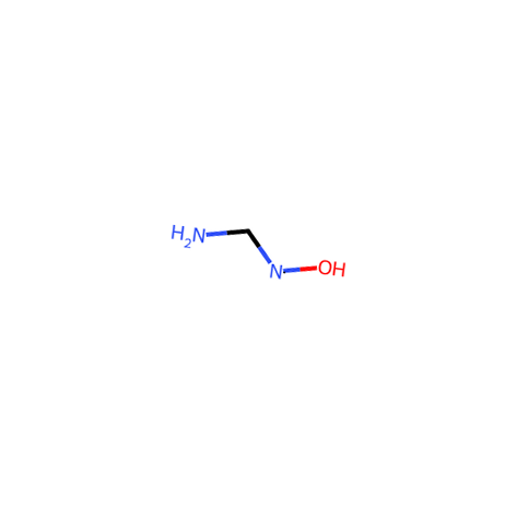 NC[N]O